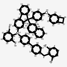 Fc1cccc(F)c1Cc1ccc(-c2ccc(N(c3ccc4c(c3)C(c3ccc(Oc5ccc6c(c5)CC6)cc3)(c3ccc5ccccc5c3)c3ccccc3-4)c3c(F)cccc3F)cc2)cc1